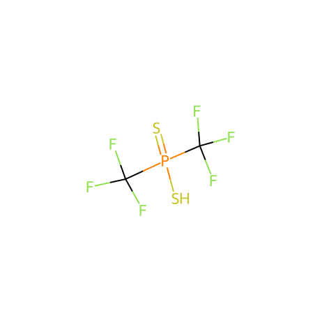 FC(F)(F)P(=S)(S)C(F)(F)F